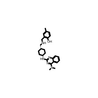 Cc1ccc(O)c(CNC[C@H]2CC[C@@H](Nc3nc(N(C)C)c4ccccc4n3)CC2)c1